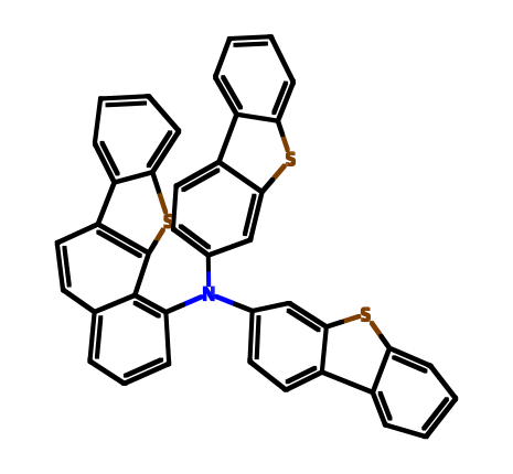 c1cc(N(c2ccc3c(c2)sc2ccccc23)c2ccc3c(c2)sc2ccccc23)c2c(c1)ccc1c3ccccc3sc12